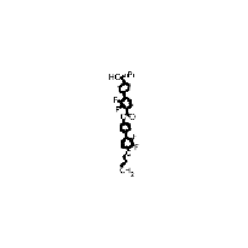 C=CCCOc1ccc(-c2ccc(OC(=O)c3ccc(C4CCC(C(O)CCC)CC4)c(F)c3F)cc2)c(F)c1F